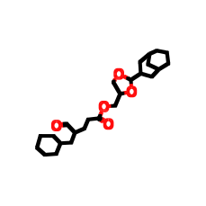 O=CC(CCC(=O)OCC1COC(C2CC3CCCC(C3)C2)O1)CC1CCCCC1